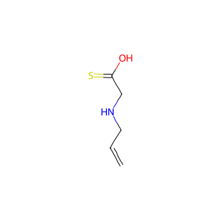 C=CCNCC(O)=S